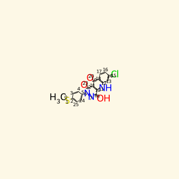 CSc1ccc(-n2nc(O)c3[nH]c4cc(Cl)ccc4c(=O)c3c2=O)cc1